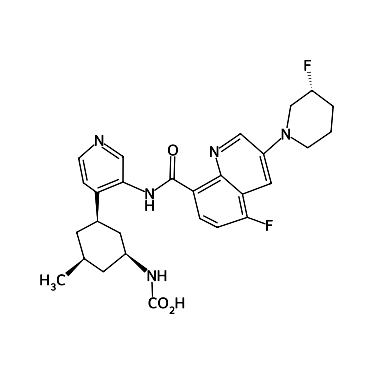 C[C@@H]1C[C@H](NC(=O)O)C[C@H](c2ccncc2NC(=O)c2ccc(F)c3cc(N4CCC[C@@H](F)C4)cnc23)C1